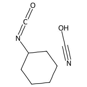 N#CO.O=C=NC1CCCCC1